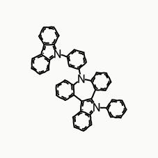 c1ccc(-n2c3c(c4ccccc42)-c2ccccc2N(c2cccc(-n4c5ccccc5c5ccccc54)c2)c2ccccc2-3)cc1